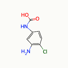 Nc1cc(NC(=O)O)ccc1Cl